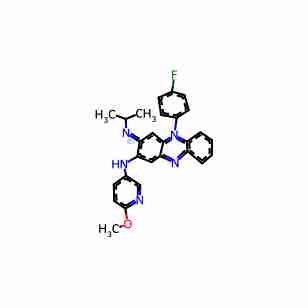 COc1ccc(Nc2cc3nc4ccccc4n(-c4ccc(F)cc4)c-3c/c2=N\C(C)C)cn1